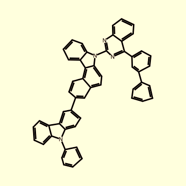 c1ccc(-c2cccc(-c3nc(-n4c5ccccc5c5c6ccc(-c7ccc8c(c7)c7ccccc7n8-c7ccccc7)cc6ccc54)nc4ccccc34)c2)cc1